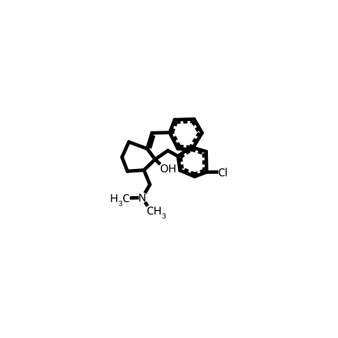 CN(C)CC1CCC/C(=C/c2ccccc2)C1(O)Cc1ccc(Cl)cc1